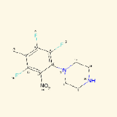 Cc1c(F)c(F)c(N2CCNCC2)c([N+](=O)[O-])c1F